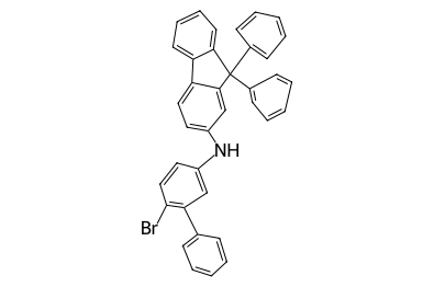 Brc1ccc(Nc2ccc3c(c2)C(c2ccccc2)(c2ccccc2)c2ccccc2-3)cc1-c1ccccc1